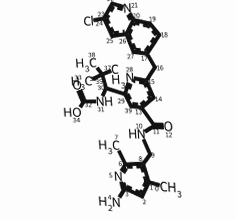 Cc1cc(N)nc(C)c1CNC(=O)c1cc(Cc2ccc3ncc(Cl)cc3c2)nc(C(NC(=O)O)C(C)(C)C)c1